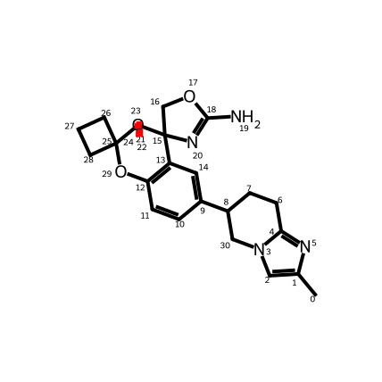 Cc1cn2c(n1)CCC(c1ccc3c(c1)C1(COC(N)=N1)C1(COC1)C1(CCC1)O3)C2